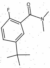 CN(C)C(=O)c1cc(C(C)(C)C)ccc1F